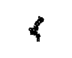 N#Cc1cnn2cc(C3CCNC3)cc(-c3ccc(N4CCN(Cc5c(F)cccc5F)CC4)nc3)c12